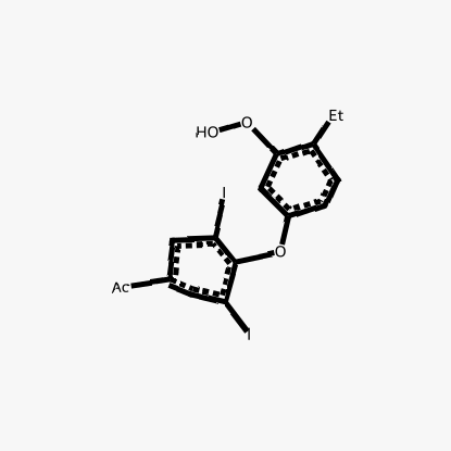 CCc1ccc(Oc2c(I)cc(C(C)=O)cc2I)cc1OO